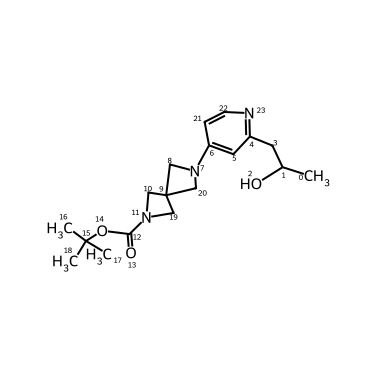 CC(O)Cc1cc(N2CC3(CN(C(=O)OC(C)(C)C)C3)C2)ccn1